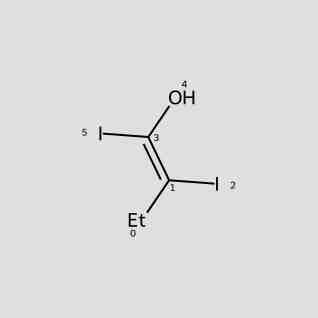 CC/C(I)=C(/O)I